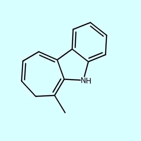 CC1=c2[nH]c3ccccc3c2=CC=CC1